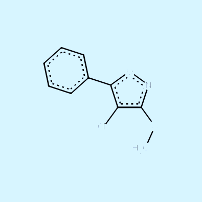 [CH2]Oc1noc(-c2ccccc2)c1Cl